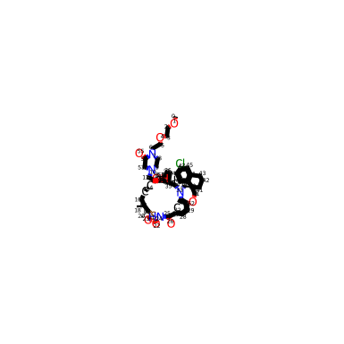 COCCOCCN1CCN(C[C@]2(O)CCC[C@H](C)[C@@H](C)S(=O)(=O)NC(=O)c3ccc4c(c3)N(C[C@@H]3CC[C@H]32)C[C@@]2(CCCc3cc(Cl)ccc32)CO4)CC1=O